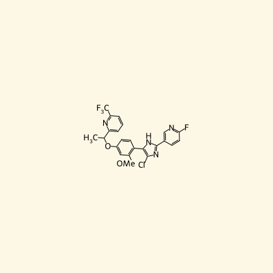 COc1cc(OC(C)c2cccc(C(F)(F)F)n2)ccc1-c1[nH]c(-c2ccc(F)nc2)nc1Cl